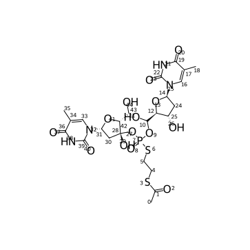 CC(=O)SCCSP(=O)(OC(O)[C@H]1O[C@@H](n2cc(C)c(=O)[nH]c2=O)C[C@@H]1O)O[C@]1(O)C[C@H](n2cc(C)c(=O)[nH]c2=O)O[C@@H]1CO